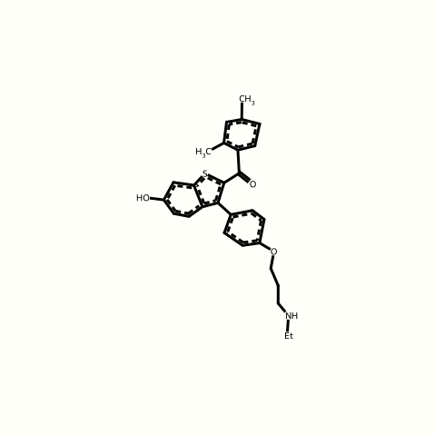 CCNCCCOc1ccc(-c2c(C(=O)c3ccc(C)cc3C)sc3cc(O)ccc23)cc1